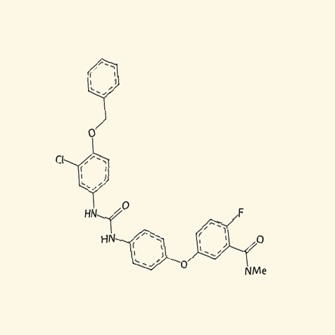 CNC(=O)c1cc(Oc2ccc(NC(=O)Nc3ccc(OCc4ccccc4)c(Cl)c3)cc2)ccc1F